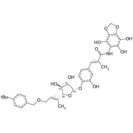 C/C(=C\c1ccc(O[C@@H]2O[C@H](/C(C)=C/COCc3ccc(C(C)(C)C)cc3)[C@@H](O)[C@@H]2O)c(O)c1)C(=O)Nc1c(O)c(O)c2c(c1O)OCO2